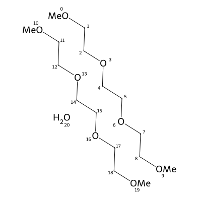 COCCOCCOCCOC.COCCOCCOCCOC.O